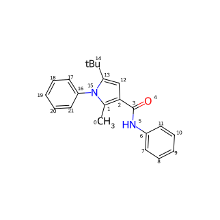 Cc1c(C(=O)Nc2ccccc2)cc(C(C)(C)C)n1-c1ccccc1